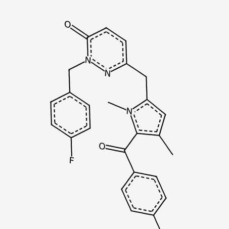 Cc1cc(Cc2ccc(=O)n(Cc3ccc(F)cc3)n2)n(C)c1C(=O)c1ccc(Cl)cc1